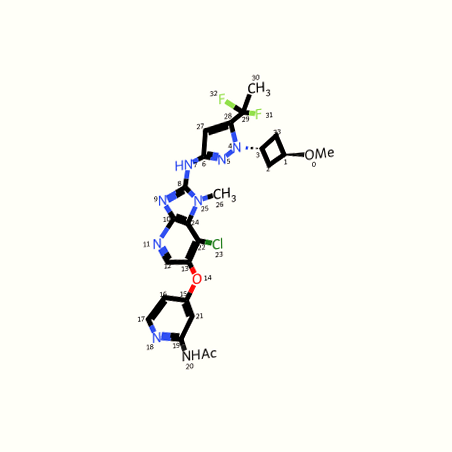 CO[C@H]1C[C@H](n2nc(Nc3nc4ncc(Oc5ccnc(NC(C)=O)c5)c(Cl)c4n3C)cc2C(C)(F)F)C1